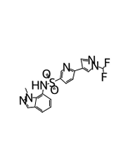 Cn1ncc2cccc(NS(=O)(=O)c3ccc(-c4cnn(C(F)F)c4)nc3)c21